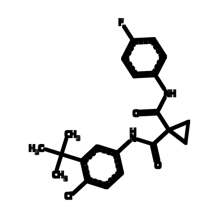 CC(C)(C)c1cc(NC(=O)C2(C(=O)Nc3ccc(F)cc3)CC2)ccc1Cl